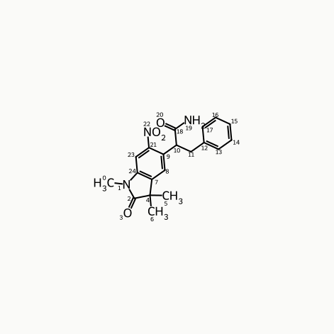 CN1C(=O)C(C)(C)c2cc(C(Cc3ccccc3)C(N)=O)c([N+](=O)[O-])cc21